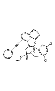 CCOP(=O)(CN(c1c(C#Cc2ccccc2)ccc2ccccc12)S(=O)(=O)c1cc(Cl)cc(Cl)c1)OCC